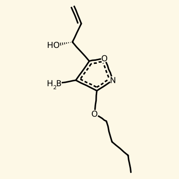 Bc1c(OCCCC)noc1[C@H](O)C=C